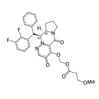 COCCC(=O)OCOc1c2n(ncc1=O)[C@@H](C(c1ccccc1)c1cccc(F)c1F)[C@H]1CCCN1C2=O